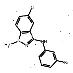 Cn1nc(Nc2cccc(Br)c2)c2cc(Cl)ccc21